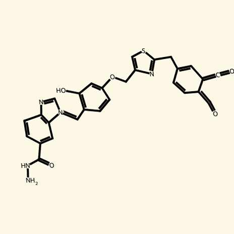 NNC(=O)c1ccc2c(c1)[N+](=Cc1ccc(OCc3csc(Cc4ccc(=C=O)c(=C=O)c4)n3)cc1O)C=N2